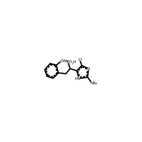 CCCCc1nc(Cl)c(C(Cc2ccccc2OC)C(=O)O)[nH]1